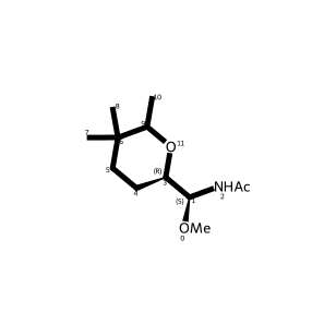 CO[C@H](NC(C)=O)[C@H]1CCC(C)(C)C(C)O1